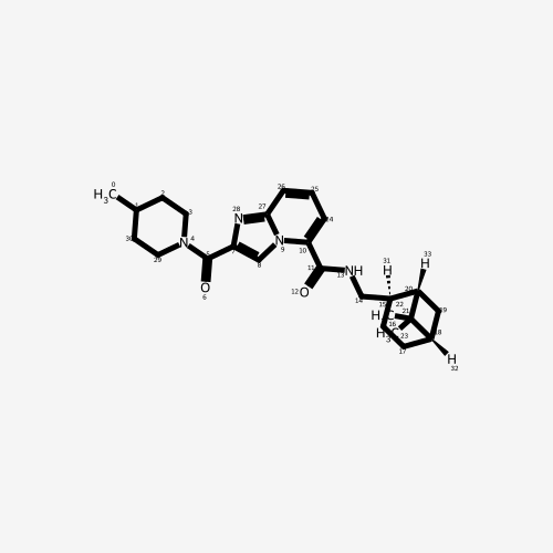 CC1CCN(C(=O)c2cn3c(C(=O)NC[C@@H]4CC[C@H]5C[C@@H]4C5(C)C)cccc3n2)CC1